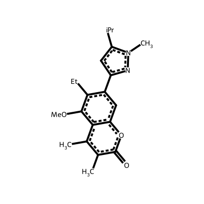 CCc1c(-c2cc(C(C)C)n(C)n2)cc2oc(=O)c(C)c(C)c2c1OC